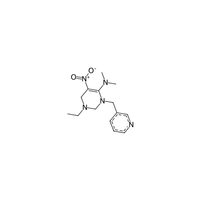 CCN1CC([N+](=O)[O-])=C(N(C)C)N(Cc2cccnc2)C1